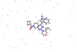 CC1COCCN1c1nc2c(c(-c3c[nH]c4ccccc34)n1)CCN(C(=O)C1CCC1)C2